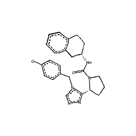 O=C(N[C@H]1CCc2ccccc2C1)N1CCC[C@@H]1c1nncn1Cc1ccc(Cl)cc1